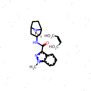 CN1C2CCC1CC(NC(=O)c1nn(C)c3ccccc13)C2.O=C(O)/C=C\C(=O)O